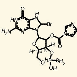 B[PH]1(O)OC[C@H]2OC(N3c4nc(N)[nH]c(=O)c4NC3Br)C(OC(=O)n3ccnc3)[C@@H]2O1